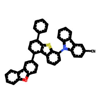 N#Cc1ccc2c(c1)c1ccccc1n2-c1cccc2c1sc1c(-c3ccccc3)ccc(-c3ccc4oc5ccccc5c4c3)c12